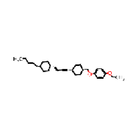 CCCCC[C@H]1CC[C@H](/C=C/C#C[C@H]2CC[C@H](COc3ccc(OCC)cc3)CC2)CC1